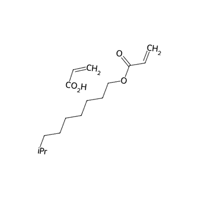 C=CC(=O)O.C=CC(=O)OCCCCCCCC(C)C